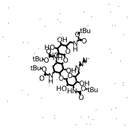 CC(C)(C)OC(=O)NCC1OC(OC2C(NC(=O)OC(C)(C)C)CC(NC(=O)OC(C)(C)C)C(OC3OC(CN=[N+]=[N-])C(O)C(NC(=O)OC(C)(C)C)C3O)C2O)C(O)C(O)C1O